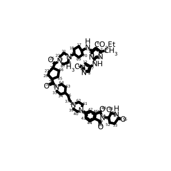 CCOC(=O)c1c(C)nc(Nc2cnn(C)c2)nc1NC1CCC(N2CCN(C(=O)C3CCC(C(=O)N4CCC(CCN5CCN(c6ccc7c(c6)C(=O)N(C6CCC(=O)NC6=O)C7=O)CC5)CC4)CC3)CC2)CC1